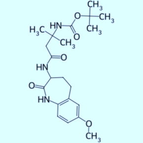 COc1ccc2c(c1)CCC(NC(=O)CC(C)(C)NC(=O)OC(C)(C)C)C(=O)N2